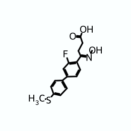 CSc1ccc(-c2ccc(/C(CCC(=O)O)=N/O)c(F)c2)cc1